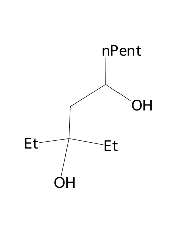 CCCCCC(O)CC(O)(CC)CC